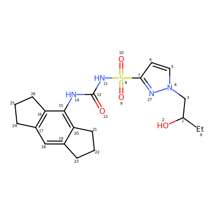 CCC(O)Cn1ccc(S(=O)(=O)NC(=O)Nc2c3c(cc4c2CCC4)CCC3)n1